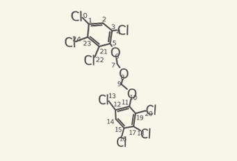 Clc1cc(Cl)c(OCOCOc2c(Cl)cc(Cl)c(Cl)c2Cl)c(Cl)c1Cl